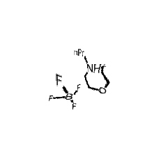 CCC[NH+]1CCOCC1.F[B-](F)(F)F